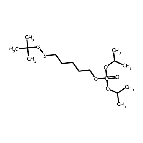 CC(C)OP(=O)(OCCCCCSSC(C)(C)C)OC(C)C